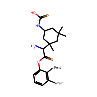 CCCCCc1cccc(OC(=S)C(N)C2(C)CC(NC(O)=S)CC(C)(C)C2)c1CCCCC